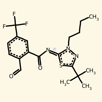 CCCCn1nc(C(C)(C)C)s/c1=N\C(=O)c1cc(C(F)(F)F)ccc1C=O